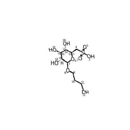 O=S(=O)(O)C[C@H]1OC(OCCCO)[C@H](O)[C@@H](O)[C@@H]1O